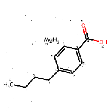 CCCCc1ccc(C(=O)O)cc1.[MgH2]